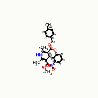 COC(=O)C1=C(C)NC(C)=C(C(=O)OCc2ccc(C)cc2)C1c1ccccc1[N+](=O)[O-]